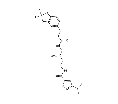 O=C(COc1ccc2c(c1)OC(F)(F)O2)NC[C@@H](O)CCNC(=O)c1cc(C(F)F)no1